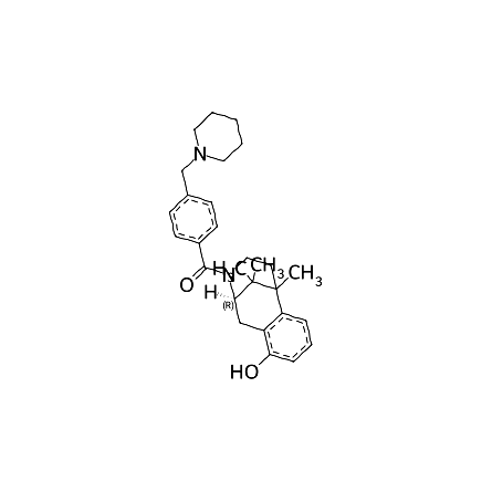 CC12CCN(C(=O)c3ccc(CN4CCCCC4)cc3)[C@H](Cc3c(O)cccc31)C2(C)C